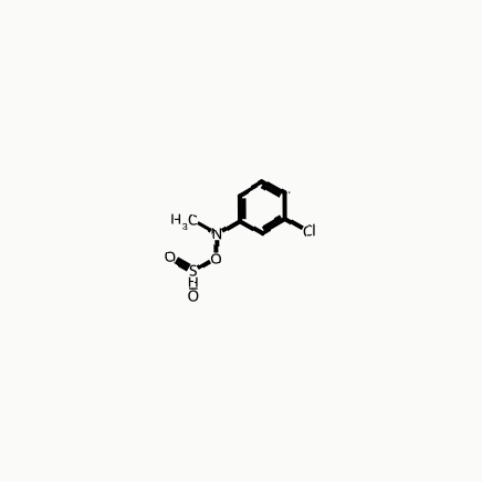 CN(O[SH](=O)=O)c1cc[c]c(Cl)c1